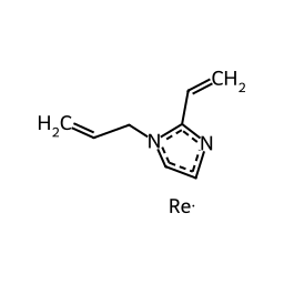 C=CCn1ccnc1C=C.[Re]